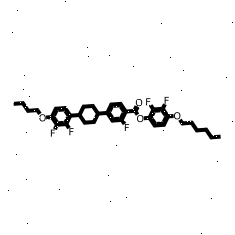 CCCCCCOc1ccc(OC(=O)c2ccc(C3CCC(c4ccc(OCCCC)c(F)c4F)CC3)cc2F)c(F)c1F